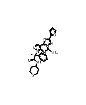 C[C@](C(=O)NC1CCSCC1)(c1ccccc1)n1ncc2c1nc(N)n1nc(-c3ccco3)nc21